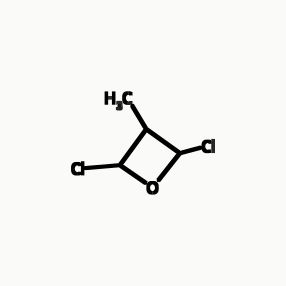 CC1C(Cl)OC1Cl